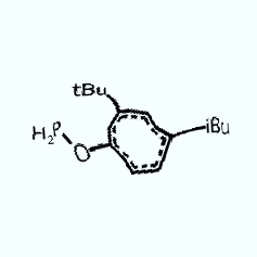 CCC(C)c1ccc(OP)c(C(C)(C)C)c1